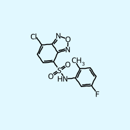 Cc1ccc(F)cc1NS(=O)(=O)c1ccc(Cl)c2nonc12